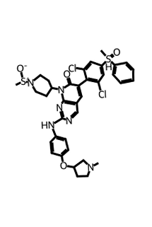 CN1CCC(Oc2ccc(Nc3ncc4cc(-c5c(Cl)cc([SH](C)(=O)c6ccccc6)cc5Cl)c(=O)n(C5CCN([S+](C)[O-])CC5)c4n3)cc2)C1